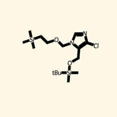 CC(C)(C)[Si](C)(C)OCc1c(Cl)ncn1COCC[Si](C)(C)C